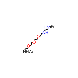 CC(=O)NCCOCCOCCOCCNCCNC(C)C